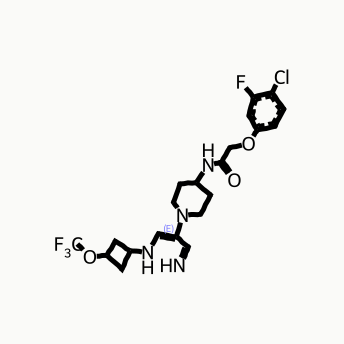 N=C/C(=C\NC1CC(OC(F)(F)F)C1)N1CCC(NC(=O)COc2ccc(Cl)c(F)c2)CC1